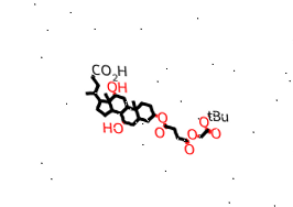 CC(CCC(=O)O)C1CCC2C3C(O)CC4CC(OC(=O)CCC(=O)OCC(=O)OC(C)(C)C)CCC4(C)C3CC(O)C12C